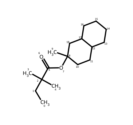 CCC(C)(C)C(=O)OC1(C)CCC2CCCCC2C1